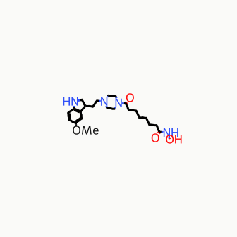 COc1ccc2c(c1)C(CCN1CCN(C(=O)CCCCCCC(=O)NO)CC1)CN2